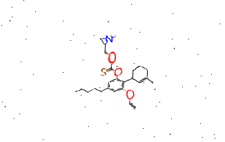 C=COc1cc(CCCCC)cc(OC(=S)OCC2CN2C)c1C1C=C(C)CCC1